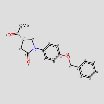 COC(=O)[C@H]1CC(=O)N(c2ccc(OCc3ccccc3)cc2)C1